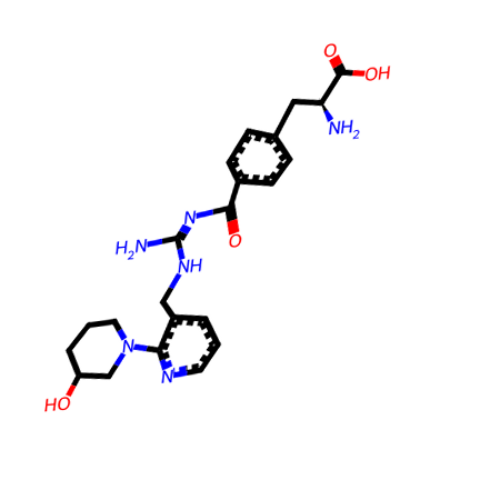 NC(=NC(=O)c1ccc(C[C@H](N)C(=O)O)cc1)NCc1cccnc1N1CCCC(O)C1